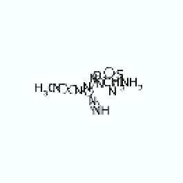 CN1CCC2(CC1)CCN(c1cc(N3CCNCC3)cc(-c3noc(C4(C)CCCc5sc(N)c(C#N)c54)n3)n1)CC2